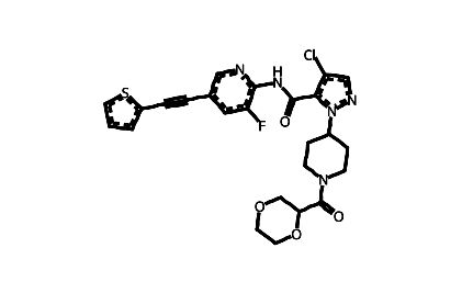 O=C(Nc1ncc(C#Cc2cccs2)cc1F)c1c(Cl)cnn1C1CCN(C(=O)C2COCCO2)CC1